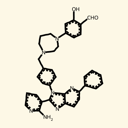 Nc1ncccc1-c1nc2ccc(-c3ccccc3)nc2n1-c1ccc(CN2CCCN(c3ccc(C=O)c(O)c3)CC2)cc1